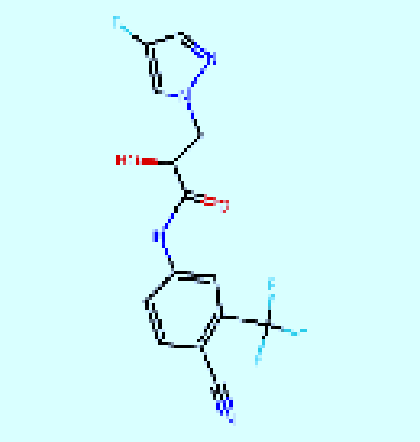 N#Cc1ccc(NC(=O)[C@@H](O)Cn2cc(F)cn2)cc1C(F)(F)F